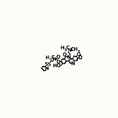 CN(C)CCn1c(=O)c2cc(OC(=O)N(C)CCSSc3ccccn3)c(CO)cc2c2cnc3cc4c(cc3c21)OCO4